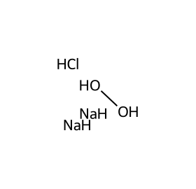 Cl.OO.[NaH].[NaH]